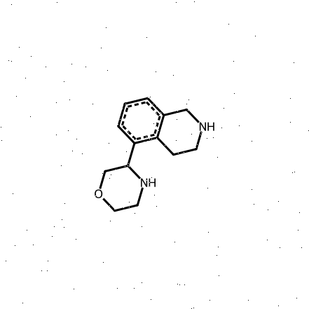 c1cc2c(c(C3COCCN3)c1)CCNC2